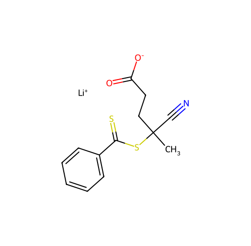 CC(C#N)(CCC(=O)[O-])SC(=S)c1ccccc1.[Li+]